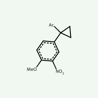 COc1ccc(C2(C(C)=O)CC2)cc1[N+](=O)[O-]